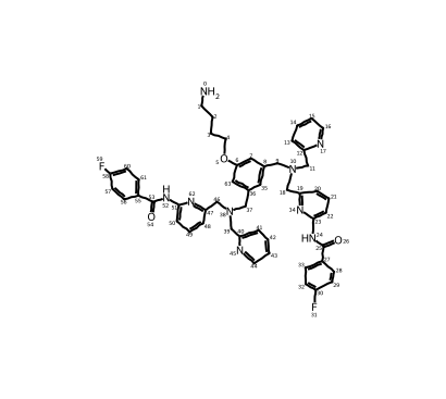 NCCCCOc1cc(CN(Cc2ccccn2)Cc2cccc(NC(=O)c3ccc(F)cc3)n2)cc(CN(Cc2ccccn2)Cc2cccc(NC(=O)c3ccc(F)cc3)n2)c1